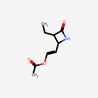 CCC1C(=O)NC1C=COC(C)=O